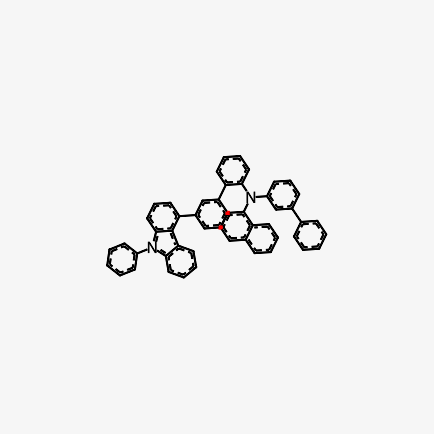 c1ccc(-c2cccc(N(c3ccccc3-c3cccc(-c4cccc5c4c4ccccc4n5-c4ccccc4)c3)c3cccc4ccccc34)c2)cc1